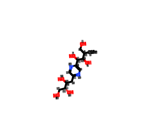 CO[C@H](CO)[C@@H](O)[C@H](O)c1cnc(C[C@H](O)[C@H](O)CO)cn1